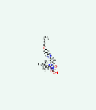 CCCCCCCOc1ccc(-c2cnc(-c3ccc(C[C@@H](NC(=O)c4ccc(C(C)(C)C)s4)C(=O)NCC(=O)O)cc3)nc2)cc1